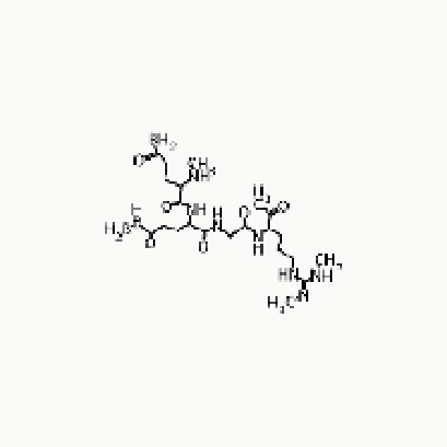 BBC(=O)CCC(NC(=O)C(CCC(B)=O)NC)C(=O)NCC(=O)NC(CCCN/C(=N\C)NC)C(C)=O